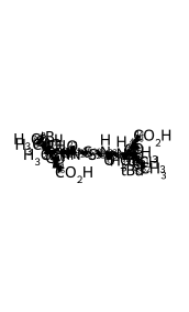 CC(C)(CO[Si](C)(C)C(C)(C)C)C(OC(=O)CCC(=O)O)C(=O)NCCC(=O)NCCSSCCNC(=O)CCNC(=O)C(OC(=O)CCC(=O)O)C(C)(C)CO[Si](C)(C)C(C)(C)C